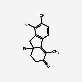 CCC12CCC(=O)C(C)=C1c1ccc(O)c(Cl)c1C2